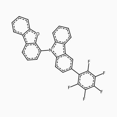 Fc1c(F)c(F)c(-c2ccc3c(c2)c2ccccc2n3-c2cccc3c2oc2ccccc23)c(F)c1F